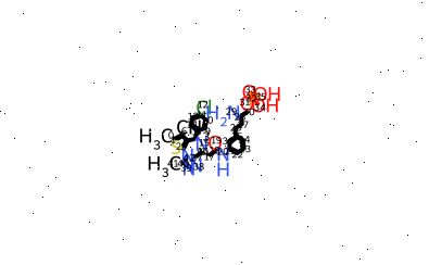 Cc1sc2c(c1C)C(c1ccc(Cl)cc1)=N[C@@H](CC(=O)Nc1cccc(CCC(N)COP(=O)(O)O)c1)c1nnc(C)n1-2